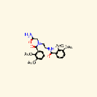 CC(=O)Oc1cccc(C(=O)NCCN(CC(N)=O)C(=O)c2cccc(OC(C)=O)c2OC(C)=O)c1OC(C)=O